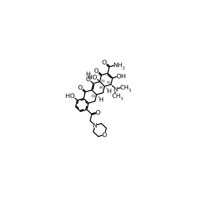 CN(C)[C@@H]1C(O)=C(C(N)=O)C(=O)[C@@]2(O)C(O)=C3C(=O)c4c(O)ccc(C(=O)CN5CCOCC5)c4C[C@@H]3C[C@H]12